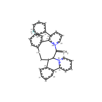 C=C1C2C(CCc3ccc(F)cc3-c3c(-c4ccccc4)ccc[n+]31)c1ccccc1-c1cccc[n+]12